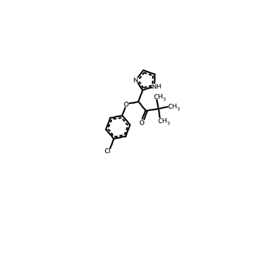 CC(C)(C)C(=O)C(Oc1ccc(Cl)cc1)c1ncc[nH]1